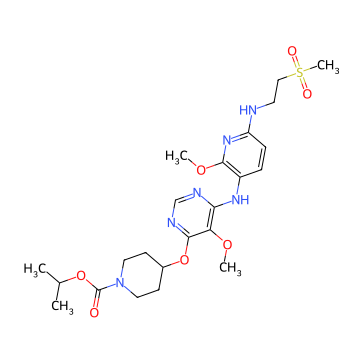 COc1nc(NCCS(C)(=O)=O)ccc1Nc1ncnc(OC2CCN(C(=O)OC(C)C)CC2)c1OC